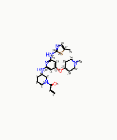 C=CC(=O)N1CCCC(Nc2cc(OC3CCN(C)CC3)cc(Nc3ncc(C)s3)n2)C1